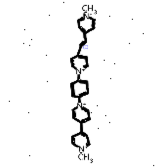 C[n+]1ccc(/C=C/c2cc[n+](-c3ccc(-[n+]4ccc(-c5cc[n+](C)cc5)cc4)cc3)cc2)cc1